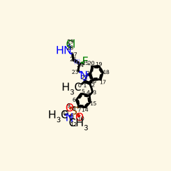 Cc1c(Cc2ccc(S(=O)(=O)N(C)C)cc2)c2ccccc2n1C/C(F)=C/CNCl